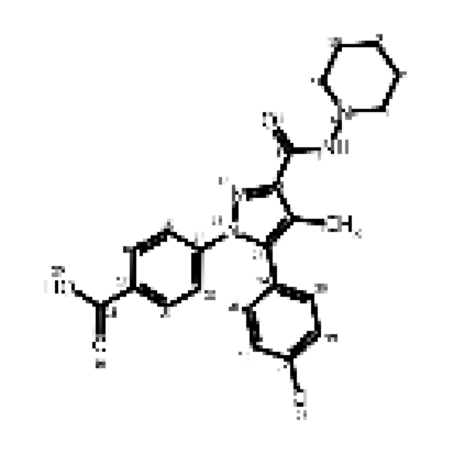 Cc1c(C(=O)NN2CCCCC2)nn(-c2ccc(C(=O)O)cc2)c1-c1ccc(Cl)cc1